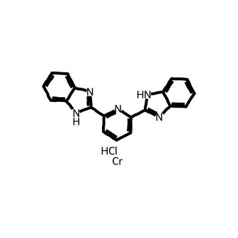 Cl.[Cr].c1cc(-c2nc3ccccc3[nH]2)nc(-c2nc3ccccc3[nH]2)c1